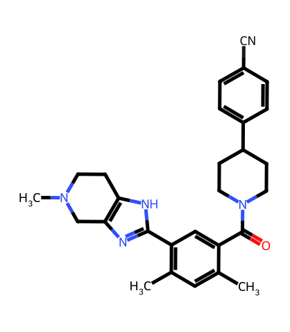 Cc1cc(C)c(-c2nc3c([nH]2)CCN(C)C3)cc1C(=O)N1CCC(c2ccc(C#N)cc2)CC1